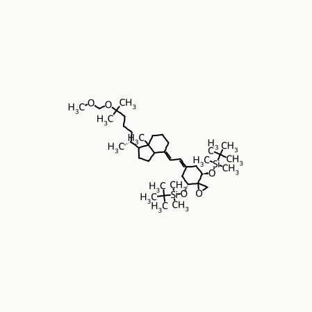 COCOC(C)(C)CCC[C@@H](C)C1CCC2/C(=C/C=C3C[C@@H](O[Si](C)(C)C(C)(C)C)C4(CO4)[C@H](O[Si](C)(C)C(C)(C)C)C3)CCCC21C